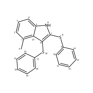 Cc1cccc2[nH]c(Sc3ccccc3)c(Sc3ccccc3)c12